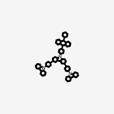 c1ccc(-c2c3ccccc3c(-c3ccc(-n4c5ccc(-c6ccc(-n7c8ccccc8c8ccccc87)cc6)cc5c5cc(-c6ccc(-n7c8ccccc8c8ccccc87)cc6)ccc54)cc3)c3ccccc23)cc1